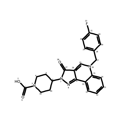 O=C(O)N1CCC(n2nc3c4ccccc4n(Cc4ccc(F)cc4)cc-3c2=O)CC1